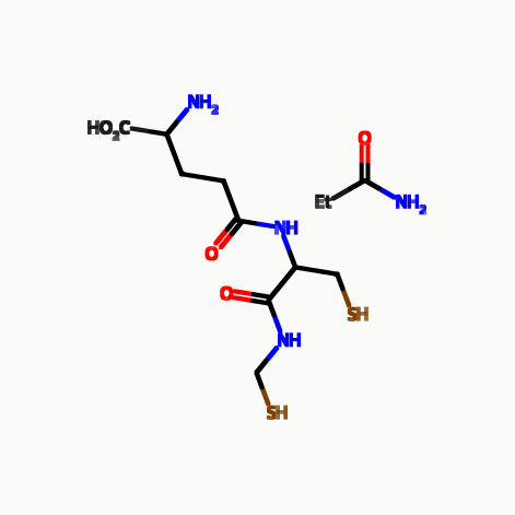 CCC(N)=O.NC(CCC(=O)NC(CS)C(=O)NCS)C(=O)O